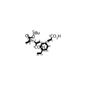 C=C(CCC)C(=O)O.C=CC(=O)O.C=CC(=O)OCCCC.C=Cc1ccccc1